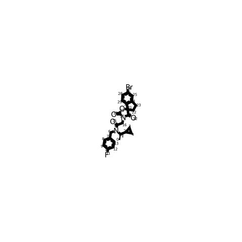 C[C@H](C1CC1)N(Cc1ccc(F)cc1)C(=O)CN1C(=O)OC2(CCc3cc(Br)ccc32)C1=O